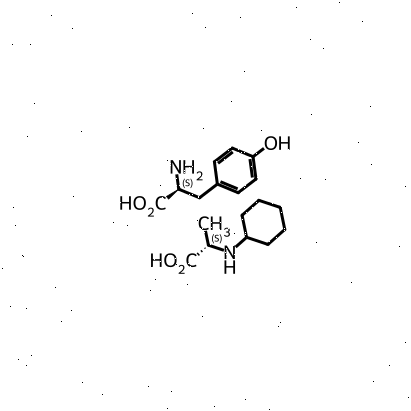 C[C@H](NC1CCCCC1)C(=O)O.N[C@@H](Cc1ccc(O)cc1)C(=O)O